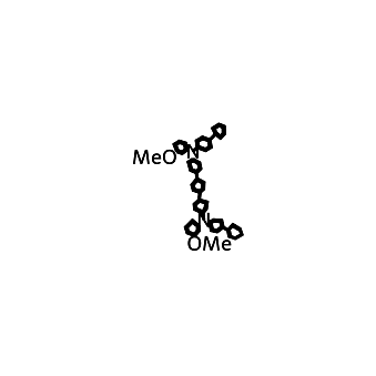 COc1cccc(N(c2ccc(C3=CCCC=C3)cc2)c2ccc(-c3ccc(-c4ccc(N(c5ccc(-c6ccccc6)cc5)c5cccc(OC)c5)cc4)cc3)cc2)c1